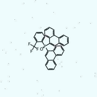 O=P(c1ccccc1C(F)(F)F)(c1cc2ccccc2c2ccccc12)c1cc2ccccc2c2ccccc12